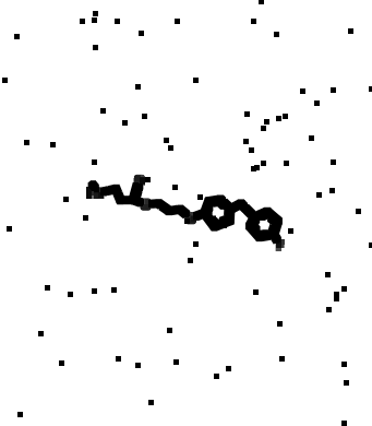 CNCCC(=O)OCCCOc1ccc(Cc2ccc(F)cc2)cc1